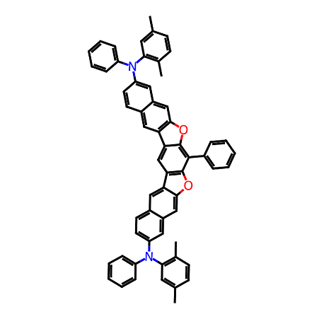 Cc1ccc(C)c(N(c2ccccc2)c2ccc3cc4c(cc3c2)oc2c(-c3ccccc3)c3oc5cc6cc(N(c7ccccc7)c7cc(C)ccc7C)ccc6cc5c3cc24)c1